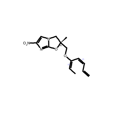 C=C/C=C\C(=C/C)OC[C@@]1(C)Cn2cc([N+](=O)[O-])nc2O1